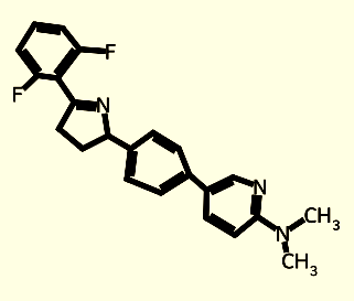 CN(C)c1ccc(-c2ccc(C3CCC(c4c(F)cccc4F)=N3)cc2)cn1